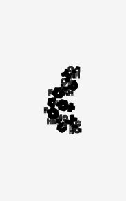 COC(=O)N[C@H](C(=O)N1CCC[C@H]1c1nc2cc(C3CC[C@H](c4cc5[nH]c([C@@H]6CCCN6C(=O)[C@@H](NC(=O)OC)C(C)C)nc5cc4F)N3c3ccc(C(C)(C)C)cc3)c(F)cc2[nH]1)C(C)C